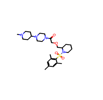 Cc1cc(C)c(S(=O)(=O)N2CCCCC2COCC(=O)N2CCN(C3CCN(C)CC3)CC2)c(C)c1